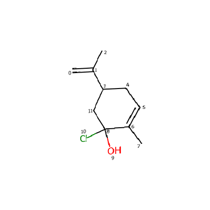 C=C(C)C1CC=C(C)C(O)(Cl)C1